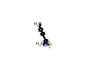 C=C(C)c1cc(C#Cc2ccc(C3CCC(CCC)CC3)cc2)cc(F)c1N=C=S